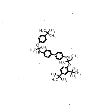 CCC(C)(Oc1ccc(C(C)(C)C)cc1C(C)(C)C)Pc1ccc(-c2ccc(PC(C)(C)Oc3ccc(C(C)(C)C)cc3)cc2)cc1